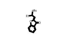 CCCCC(/C=C1\Oc2ccccc2C1=O)CC